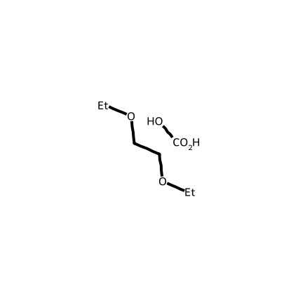 CCOCCOCC.O=C(O)O